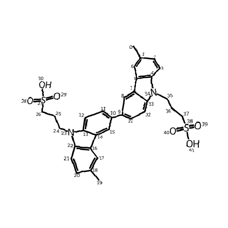 Cc1ccc2c(c1)c1cc(-c3ccc4c(c3)c3cc(C)ccc3n4CCCS(=O)(=O)O)ccc1n2CCCS(=O)(=O)O